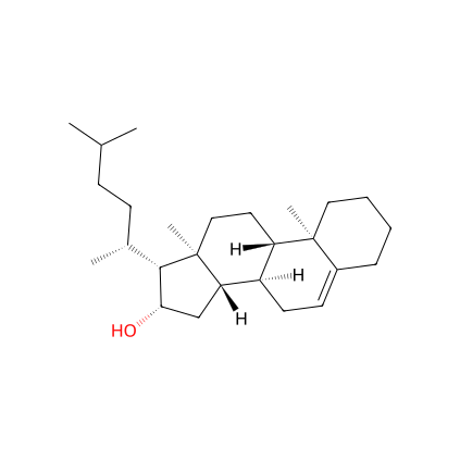 CC(C)CC[C@@H](C)[C@H]1[C@@H](O)C[C@H]2[C@@H]3CC=C4CCCC[C@]4(C)[C@H]3CC[C@]12C